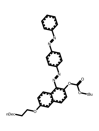 CCCCCCCCCCCCOc1ccc2c(N=Nc3ccc(N=Nc4ccccc4)cc3)c(OC(=O)OC(C)(C)C)ccc2c1